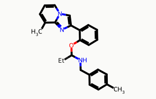 CCC(NCc1ccc(C)cc1)Oc1ccccc1-c1cn2cccc(C)c2n1